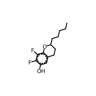 CCCCCC1CCc2cc(O)c(F)c(F)c2O1